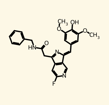 COc1cc(C=C2N=C(CC(=O)NCc3ccccc3)c3cc(F)ncc32)cc(OC)c1O